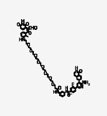 Cc1c(NCCOCCOCCOCCOCCOCCOCCOCCOCCC(=O)Nc2cccc(N[S+]([O-])c3ccc(-c4cnc(N)c(-c5ccc6c(c5)CCNC6=O)c4)c(F)c3)c2)cccc1C(=O)N(C=O)C1CCC(=O)NC1=O